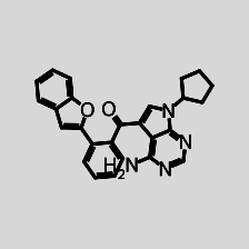 Nc1ncnc2c1c(C(=O)c1ccccc1-c1cc3ccccc3o1)cn2C1CCCC1